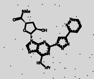 CCCNc1nc(-n2cc(-c3cccnn3)nn2)nc2c1ncn2[C@@H]1O[C@H](C(=O)NC)C[C@H]1O